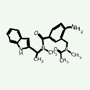 CC(=O)N(C)Cc1cc(C(=O)N(C)C(C)c2cc3ccccc3[nH]2)ccc1N